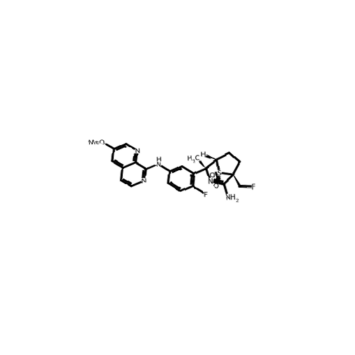 COc1cnc2c(Nc3ccc(F)c([C@@]4(C)N=C(N)[C@@]5(CF)CC[C@@H]4S5(=O)=O)c3)nccc2c1